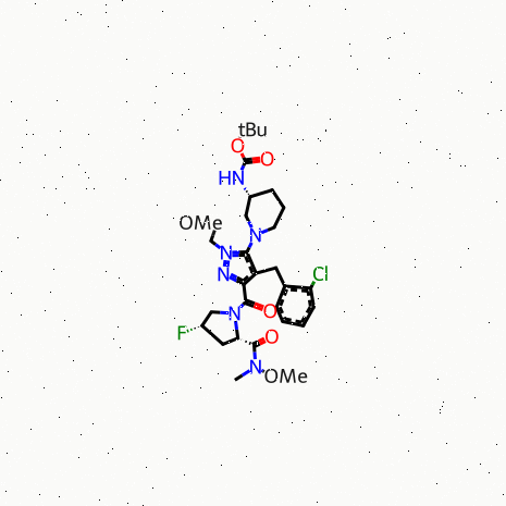 COCn1nc(C(=O)N2C[C@@H](F)C[C@H]2C(=O)N(C)OC)c(Cc2ccccc2Cl)c1N1CCC[C@@H](NC(=O)OC(C)(C)C)C1